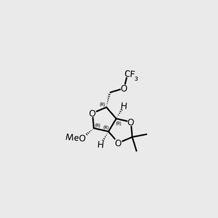 CO[C@@H]1O[C@H](COC(F)(F)F)[C@H]2OC(C)(C)O[C@@H]12